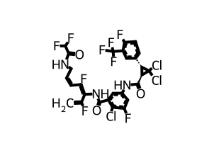 C=C(F)/C(NC(=O)c1cc(NC(=O)[C@H]2[C@H](c3ccc(F)c(C(F)(F)F)c3)C2(Cl)Cl)cc(F)c1Cl)=C(F)\C=C/CNC(=O)C(F)F